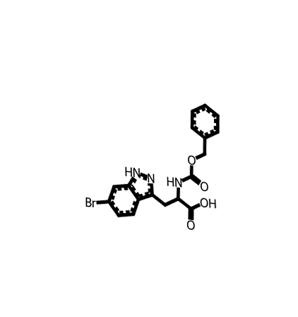 O=C(NC(Cc1n[nH]c2cc(Br)ccc12)C(=O)O)OCc1ccccc1